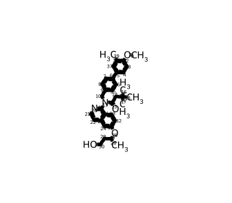 COc1ccc(-c2ccc(CN(C(=O)CC(C)(C)C)c3nccc4cc(OC(C)CCO)ccc34)cc2)cc1C